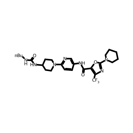 CCCCNC(=O)NC1CCN(c2ccc(NC(=O)c3oc(N4CCCCC4)nc3C(F)(F)F)cn2)CC1